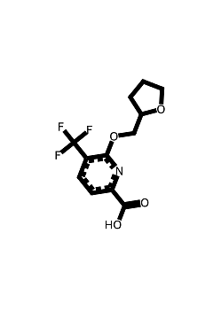 O=C(O)c1ccc(C(F)(F)F)c(OCC2CCCO2)n1